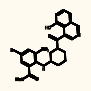 CNC(=O)c1cc(Br)cc([N+](=O)[O-])c1NC1CCCN(C(=O)c2cncc3cccc(O)c23)C1